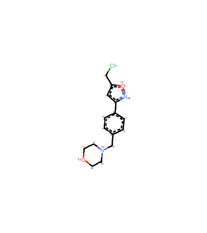 ClCc1cc(-c2ccc(CN3CCOCC3)cc2)no1